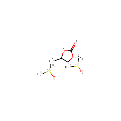 CC1COC(=O)O1.C[S+](C)[O-].C[S+](C)[O-]